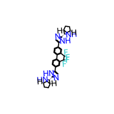 FC1(F)c2cc(-c3cnc([C@H]4N[C@@H]5CC[C@H]4C5)[nH]3)ccc2-c2ccc(-c3cnc([C@H]4N[C@@H]5CC[C@H]4C5)[nH]3)cc2C1(F)F